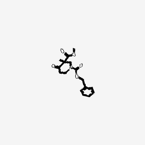 COC(=O)C1(C)CN(C(=O)OCc2ccccc2)CCC1=O